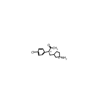 CC(=O)[C@@H](CC1CC[C@@H](N)C1)c1ccc(Cl)cc1